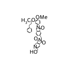 COc1ccc(N2Cc3ccc(CN4C(=O)c5cnc(CO)cc5C4=O)cc3C2=O)cc1OC(C)CCc1ccccc1